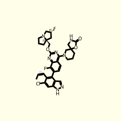 C/C=C\c1c(Cl)cc2[nH]ncc2c1-c1ccc2c(N3CCCC4(CNC(=O)O4)C3)nc(OC[C@@]34CCCN3C[C@H](F)C4)nc2c1F